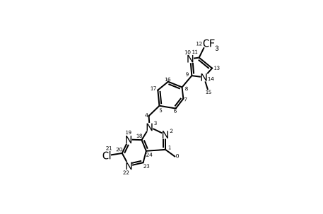 Cc1nn(Cc2ccc(-c3nc(C(F)(F)F)cn3C)cc2)c2nc(Cl)ncc12